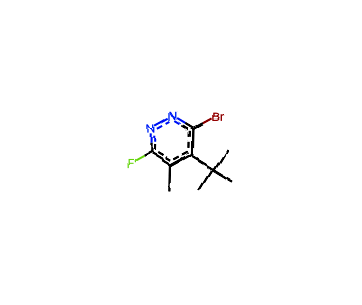 Cc1c(F)nnc(Br)c1C(C)(C)C